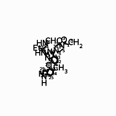 C=CC(=O)N1CCN(c2nc(NC(CC)CNC=O)nc3c(Oc4c(C)ccc5[nH]ncc45)cccc23)CC1